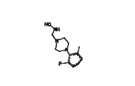 Cc1cccc(F)c1N1CCN(CNO)CC1